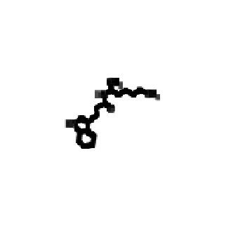 CCCCCC(C)NC(=O)CCc1c[nH]c2ccccc12